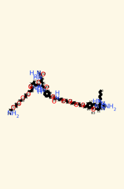 CCCCCNc1nc(N)nc2ccn(Cc3ccc(COCCOCCOCCOCCNC(=O)OCc4ccc(NC(=O)[C@H](CCCNC(N)=O)NC(=O)[C@@H](NC(=O)CCOCCOCCOCCOCCN)C(C)C)cc4)cc3OC)c12